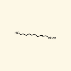 CCCCCCC/C=C/CCCCCCCO